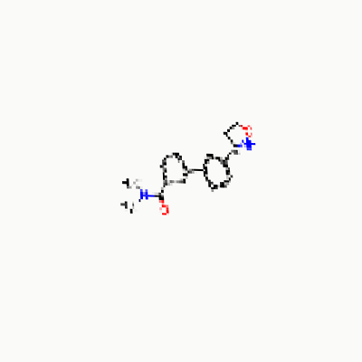 CN(C)C(=O)c1cccc(-c2cccc([C@H]3CCON3)c2)c1